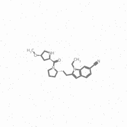 CCn1c(CC[C@@H]2CCCN2C(=O)[C@H]2C[C@@H](OC)CN2)cc2ccc(C#N)cc21